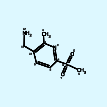 Cc1nc(S(C)(=O)=O)ccc1CN